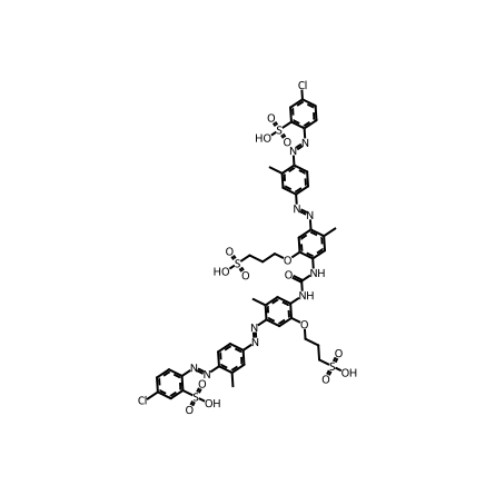 Cc1cc(NC(=O)Nc2cc(C)c(N=Nc3ccc(N=Nc4ccc(Cl)cc4S(=O)(=O)O)c(C)c3)cc2OCCCS(=O)(=O)O)c(OCCCS(=O)(=O)O)cc1N=Nc1ccc(N=Nc2ccc(Cl)cc2S(=O)(=O)O)c(C)c1